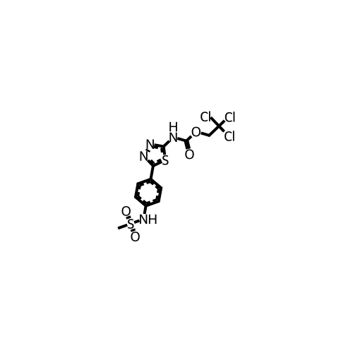 CS(=O)(=O)Nc1ccc(-c2nnc(NC(=O)OCC(Cl)(Cl)Cl)s2)cc1